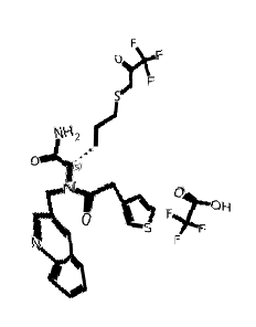 NC(=O)[C@H](CCCSCC(=O)C(F)(F)F)N(Cc1cnc2ccccc2c1)C(=O)Cc1ccsc1.O=C(O)C(F)(F)F